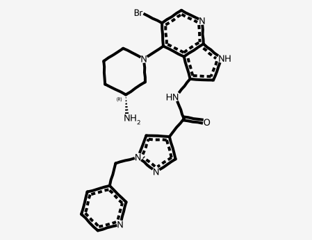 N[C@@H]1CCCN(c2c(Br)cnc3[nH]cc(NC(=O)c4cnn(Cc5cccnc5)c4)c23)C1